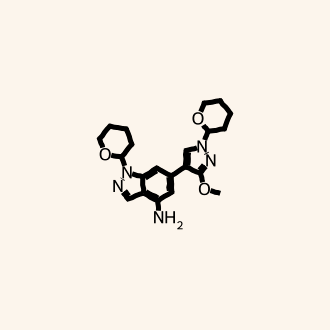 COc1nn(C2CCCCO2)cc1-c1cc(N)c2cnn(C3CCCCO3)c2c1